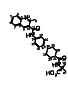 Cc1nc2ccccc2cc1C(=O)Nc1ccc([C@H]2CC[C@H](C(=O)NC(C)(C)C(=O)O)CC2)cc1